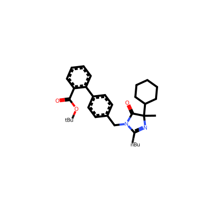 CCCCC1=NC(C)(C2CCCCC2)C(=O)N1Cc1ccc(-c2ccccc2C(=O)OC(C)(C)C)cc1